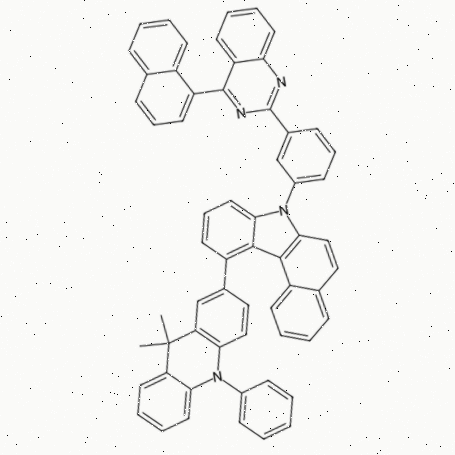 CC1(C)c2ccccc2N(c2ccccc2)c2ccc(-c3cccc4c3c3c5ccccc5ccc3n4-c3cccc(-c4nc(-c5cccc6ccccc56)c5ccccc5n4)c3)cc21